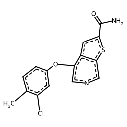 Cc1ccc(Oc2cncc3sc(C(N)=O)cc23)cc1Cl